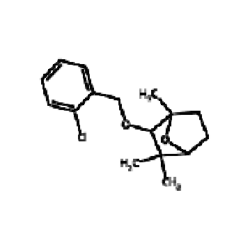 CC12CCC(O1)C(C)(C)C2OCc1ccccc1Cl